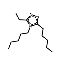 CCCCCc1nnc(CC)n1CCCCC